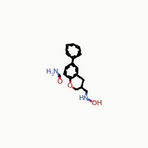 NC=O.ONCC1COc2ccc(-c3ccccc3)cc2C1